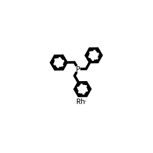 [Rh].c1ccc(CP(Cc2ccccc2)Cc2ccccc2)cc1